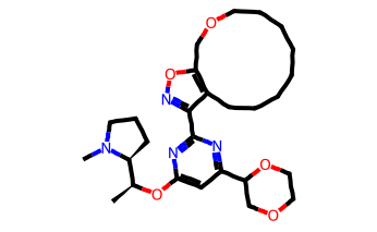 C[C@H](Oc1cc(C2COCCO2)nc(-c2noc3c2CCCCCCCCOC3)n1)[C@@H]1CCCN1C